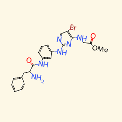 COC(=O)CNc1nc(Nc2cccc(NC(=O)C(N)Cc3ccccc3)c2)ncc1Br